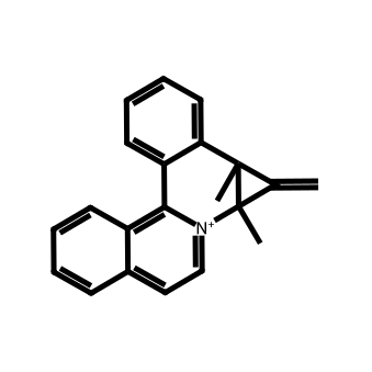 C=C1C2(C)c3ccccc3-c3c4ccccc4cc[n+]3C12C